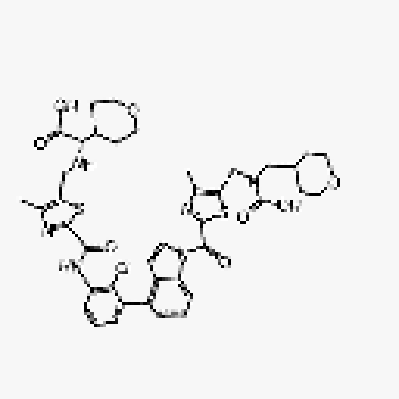 Cc1nc(C(=O)Nc2cccc(-c3cccc4c3ccn4C(=O)c3nc(C)c(CN(CC4CCOCC4)C(=O)O)s3)c2Cl)sc1CN[C@H](C(=O)O)C1CCOCC1